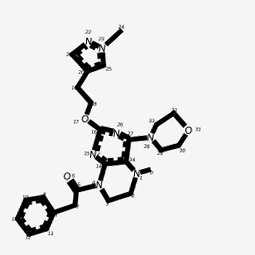 CN1CCN(C(=O)Cc2ccccc2)c2nc(OCCc3cnn(C)c3)nc(N3CCOCC3)c21